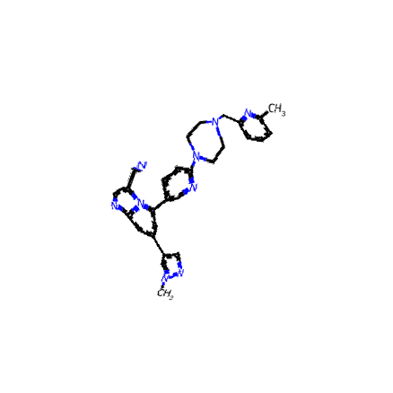 Cc1cccc(CN2CCN(c3ccc(-c4cc(-c5cnn(C)c5)cc5ncc(C#N)n45)cn3)CC2)n1